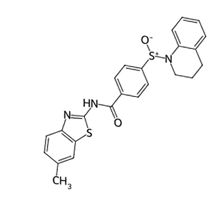 Cc1ccc2nc(NC(=O)c3ccc([S+]([O-])N4CCCc5ccccc54)cc3)sc2c1